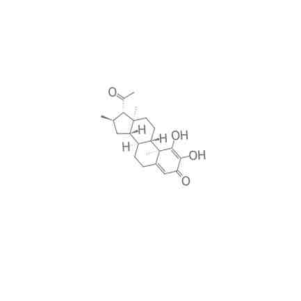 CC(=O)[C@H]1[C@H](C)C[C@H]2[C@@H]3CCC4=CC(=O)C(O)=C(O)[C@]4(C)[C@H]3CC[C@@]21C